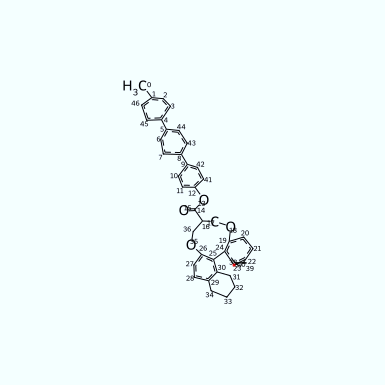 Cc1ccc(-c2ccc(-c3ccc(OC(=O)C4COc5ccc6c(c5-c5c(ccc7c5CCCC7)OC4)CCCC6)cc3)cc2)cc1